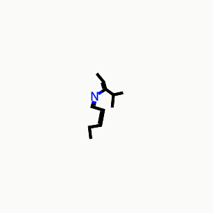 C\C=C(/N=C\C=C/CC)C(C)C